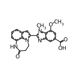 COc1cc(C(=O)O)cc2nc(-c3cc4cccc5c4n3CCC(=O)N5)n(C)c12